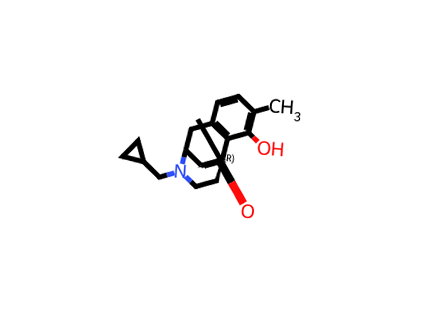 Cc1ccc2c(c1O)[C@@]13CCN(CC4CC4)C(C2)C1CCC(=O)C3